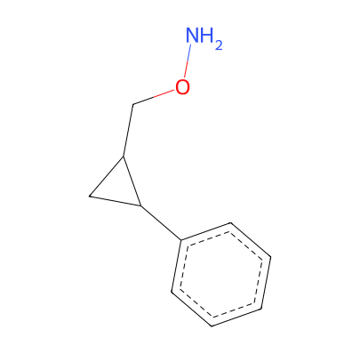 NOCC1CC1c1ccccc1